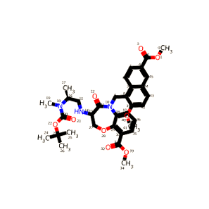 COC(=O)c1ccc2c(CN3C(=O)C(NC[C@H](C)N(C)C(=O)OC(C)(C)C)COc4c(C(=O)OC)cccc43)c(OC)ccc2c1